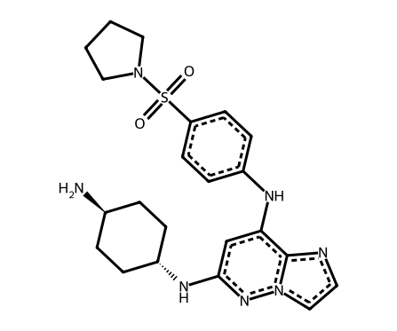 N[C@H]1CC[C@H](Nc2cc(Nc3ccc(S(=O)(=O)N4CCCC4)cc3)c3nccn3n2)CC1